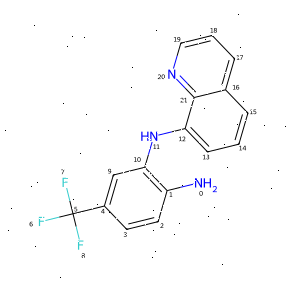 Nc1ccc(C(F)(F)F)cc1Nc1cccc2cccnc12